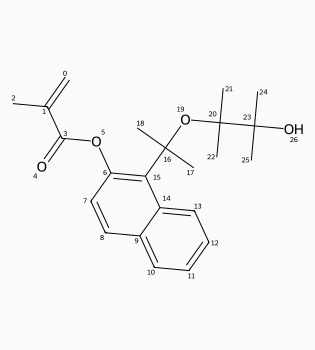 C=C(C)C(=O)Oc1ccc2ccccc2c1C(C)(C)OC(C)(C)C(C)(C)O